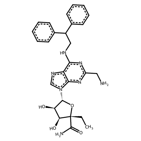 CC[C@]1(C(N)=O)O[C@@H](n2cnc3c(NCC(c4ccccc4)c4ccccc4)nc(CN)nc32)[C@H](O)[C@@H]1O